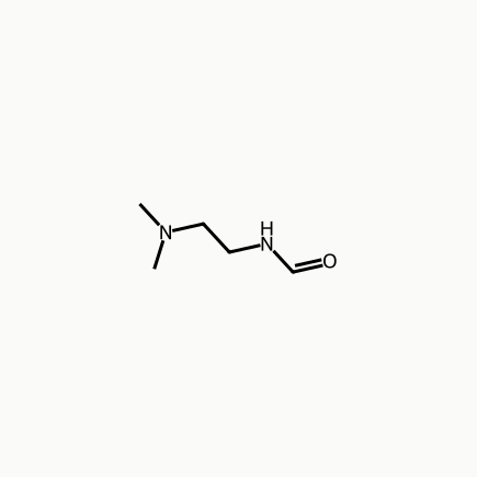 CN(C)CCNC=O